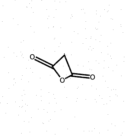 O=C1[CH]C(=O)O1